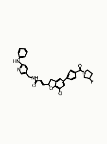 O=C(C=CC1Cc2cc(-c3ccc(C(=O)N4CCC(F)C4)cc3)cc(Cl)c2O1)NCc1ccc(Nc2ccccc2)nc1